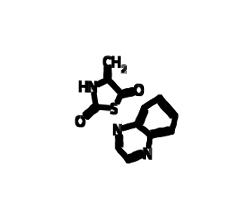 C=C1NC(=O)SC1=O.c1ccc2nccnc2c1